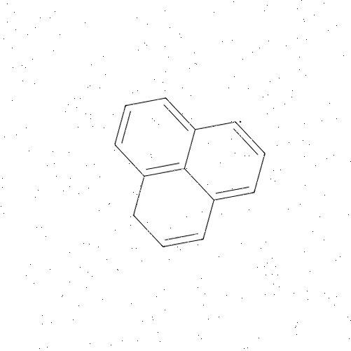 [c]1ccc2c3c(cccc13)CC=C2